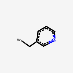 CC(=O)Cc1cc[c]nc1